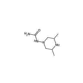 CC1CN(NC(N)=O)CC(C)N1